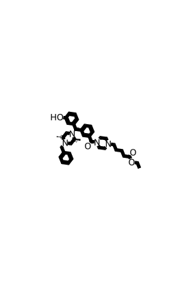 CCOC(=O)CCCCN1CCN(C(=O)c2cccc([C@H](c3cccc(O)c3)N3C[C@@H](C)N(Cc4ccccc4)C[C@@H]3C)c2)CC1